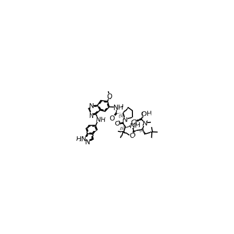 COc1cc2ncnc(Nc3ccc4[nH]ncc4c3)c2cc1NC(=O)[C@@H]1CCCN1C(=O)[C@@H](NC(=O)[C@H](CC(C)(C)C)N(C)C(=O)O)C(C)(C)C